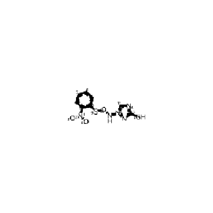 O=[N+]([O-])c1ccccc1SONn1cnc(S)n1